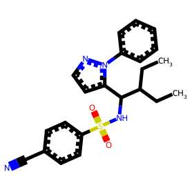 CCC(CC)C(NS(=O)(=O)c1ccc(C#N)cc1)c1ccnn1-c1ccccc1